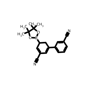 CC1(C)OB(C2C=C(C#N)C=C(c3cccc(C#N)c3)C2)OC1(C)C